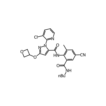 CCCCNC(=O)c1cc(C#N)cc(C)c1NC(=O)c1cc(OC2COC2)nn1-c1ncccc1Cl